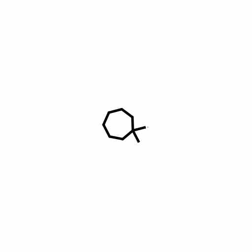 [CH2]C1(C)CCCCCC1